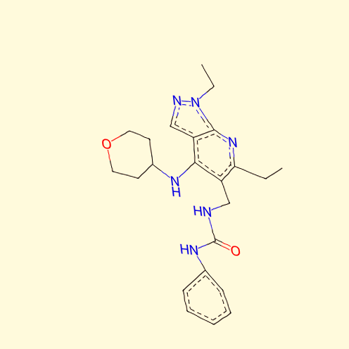 CCc1nc2c(cnn2CC)c(NC2CCOCC2)c1CNC(=O)Nc1ccccc1